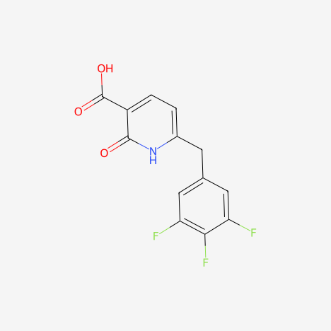 O=C(O)c1ccc(Cc2cc(F)c(F)c(F)c2)[nH]c1=O